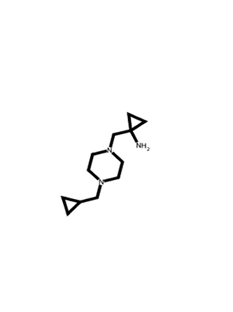 NC1(CN2CCN(CC3CC3)CC2)CC1